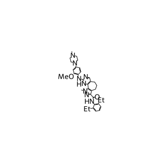 CCc1cccc(CC)c1NC(=O)c1nn(C)c2c1CCCc1cnc(Nc3ccc(N4CCN(C)CC4)cc3OC)nc1-2